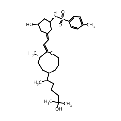 Cc1ccc(S(=O)(=O)N[C@H]2C/C(=C/C=C3\CCCC[C@@H]([C@H](C)CCCC(C)(C)O)CC[C@@H]3C)C[C@@H](O)C2)cc1